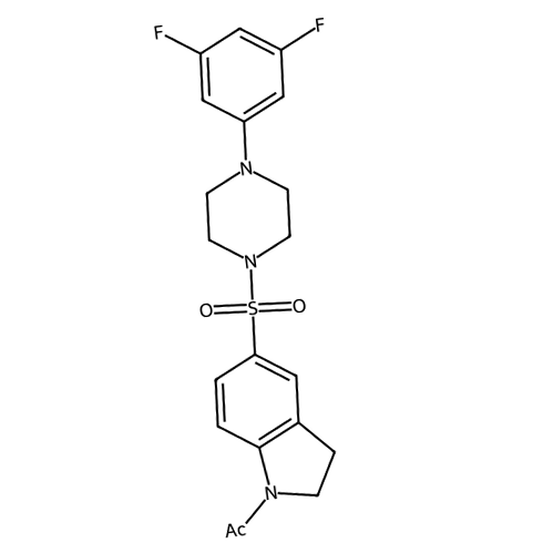 CC(=O)N1CCc2cc(S(=O)(=O)N3CCN(c4cc(F)cc(F)c4)CC3)ccc21